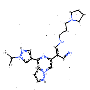 CCC(CC)n1cc(-c2nc(/C(C=N)=C/NCCCN3CCCC3)cn3nccc23)cn1